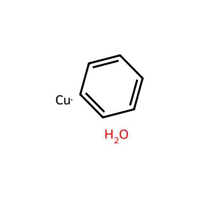 O.[Cu].c1ccccc1